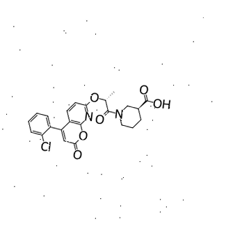 C[C@@H](Oc1ccc2c(-c3ccccc3Cl)cc(=O)oc2n1)C(=O)N1CCC[C@H](C(=O)O)C1